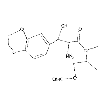 CC(COC=O)N(C)C(=O)C(N)C(O)c1ccc2c(c1)OCCO2